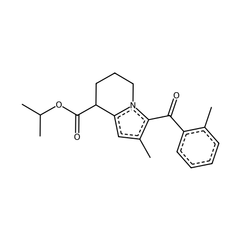 Cc1ccccc1C(=O)c1c(C)cc2n1CCCC2C(=O)OC(C)C